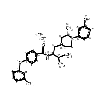 Cc1cccc(Oc2ccc(C(=O)NC(CN3CCN(c4cccc(O)c4)[C@@H](C)C3)C(C)C)cc2)c1.Cl.Cl